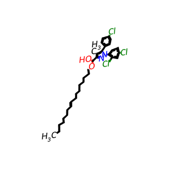 CCCCCCC/C=C/CCCCCCCCOC(O)c1nn(-c2ccc(Cl)cc2Cl)c(-c2ccc(Cl)cc2)c1C